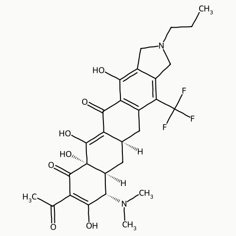 CCCN1Cc2c(O)c3c(c(C(F)(F)F)c2C1)C[C@H]1C[C@H]2[C@H](N(C)C)C(O)=C(C(C)=O)C(=O)[C@@]2(O)C(O)=C1C3=O